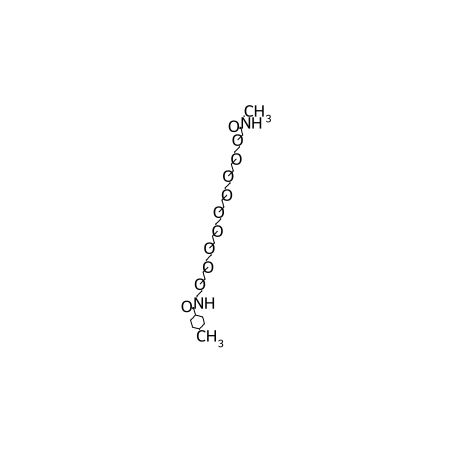 CCNC(=O)COCCOCCOCCOCCOCCOCCOCCOCCOCCNC(=O)C1CCC(C)CC1